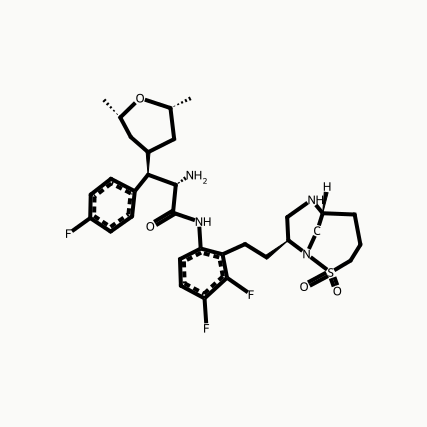 C[C@@H]1CC([C@H](c2ccc(F)cc2)[C@H](N)C(=O)Nc2ccc(F)c(F)c2CC[C@H]2CN[C@@H]3CCCS(=O)(=O)N2C3)C[C@H](C)O1